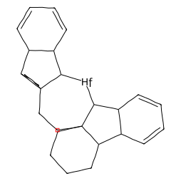 C1=CC2C(C=C1)[CH]1[Hf][CH]3C4C=CC=CC4C4CCCCC43CCC13CCCCC23